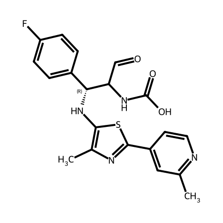 Cc1cc(-c2nc(C)c(N[C@H](c3ccc(F)cc3)C(C=O)NC(=O)O)s2)ccn1